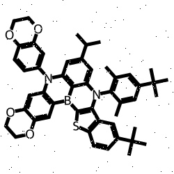 Cc1cc(C(C)(C)C)cc(C)c1N1c2cc(C(C)C)cc3c2B(c2cc4c(cc2N3c2ccc3c(c2)OCCO3)OCCO4)c2sc3ccc(C(C)(C)C)cc3c21